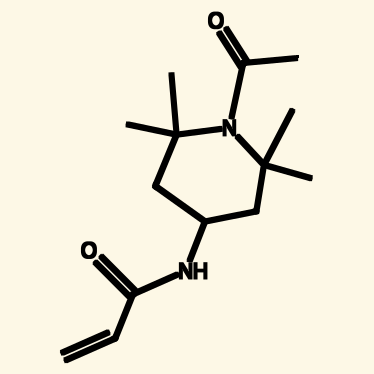 C=CC(=O)NC1CC(C)(C)N(C(C)=O)C(C)(C)C1